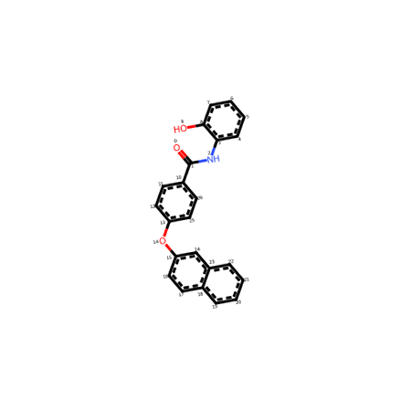 O=C(Nc1ccccc1O)c1ccc(Oc2ccc3ccccc3c2)cc1